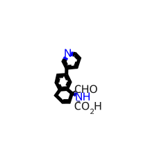 O=C[C@]1(NC(=O)O)C=CCc2ccc(-c3cccnc3)cc21